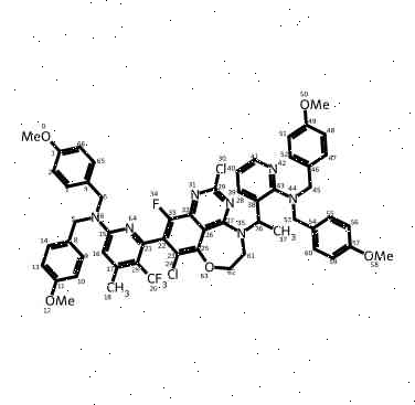 COc1ccc(CN(Cc2ccc(OC)cc2)c2cc(C)c(C(F)(F)F)c(-c3c(Cl)c4c5c(nc(Cl)nc5c3F)N(C(C)c3cccnc3N(Cc3ccc(OC)cc3)Cc3ccc(OC)cc3)CCO4)n2)cc1